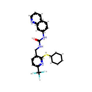 O=C(NCc1ccc(C(F)(F)F)nc1SC1CCCCC1)Nc1ccc2cccnc2c1